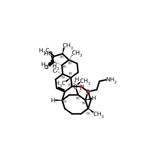 CO[C@@H]1C[C@@H]2CCC[C@@](C)(CCC[C@H]3C2=CC[C@@]2(C)[C@H](C(=O)O)[C@@](C)([C@H](C)C(C)C)CC[C@]32C)[C@H]1OCCN